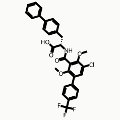 COc1c(Cl)cc(-c2ccc(C(F)(F)F)cc2)c(OC)c1C(=O)N[C@@H](Cc1ccc(-c2ccccc2)cc1)C(=O)O